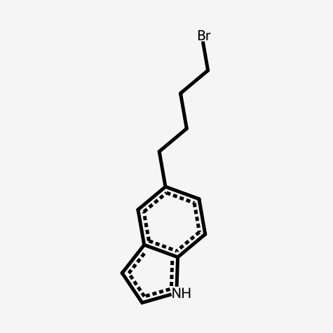 BrCCCCc1ccc2[nH]ccc2c1